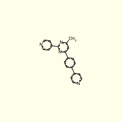 Cc1cc(-c2ccc(-c3ccncc3)cc2)nc(-c2ccncc2)n1